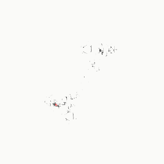 CN1C2CCC1CC(OC(=O)C(COC(=O)CCCCCCCCC(=O)OC(C(=O)OC1CC3CCC(C1)N3C)c1ccccc1)c1ccccc1)C2